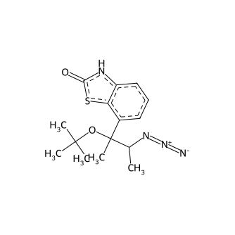 CC(N=[N+]=[N-])C(C)(OC(C)(C)C)c1cccc2[nH]c(=O)sc12